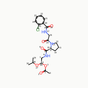 CC(=O)O[C@H](CNC(=O)[C@@H]1CCCN1C(=O)CNC(=O)c1ccccc1Cl)OC(C)C